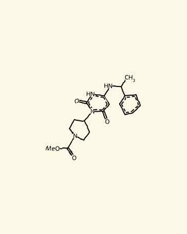 COC(=O)N1CCC(n2c(=O)cc(NC(C)c3ccccc3)[nH]c2=O)CC1